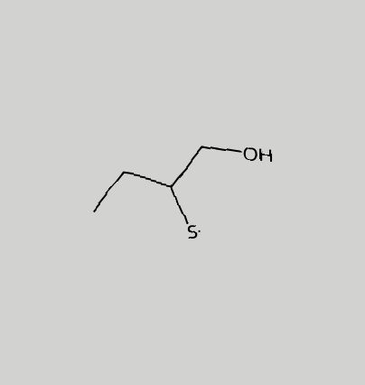 CCC([S])CO